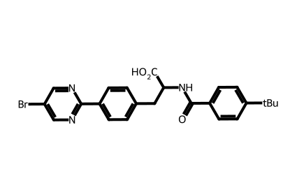 CC(C)(C)c1ccc(C(=O)NC(Cc2ccc(-c3ncc(Br)cn3)cc2)C(=O)O)cc1